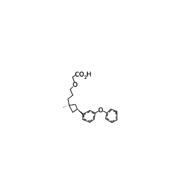 C[C@]1(CCCOCC(=O)O)C[C@@H](c2cccc(Oc3ccccc3)c2)C1